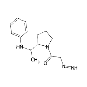 CC(Nc1ccccc1)[C@@H]1CCCN1C(=O)CN=N